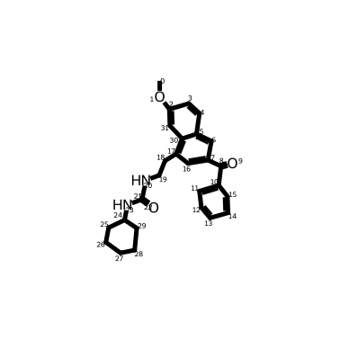 COc1ccc2cc(C(=O)c3ccccc3)cc(CCNC(=O)NC3CCCCC3)c2c1